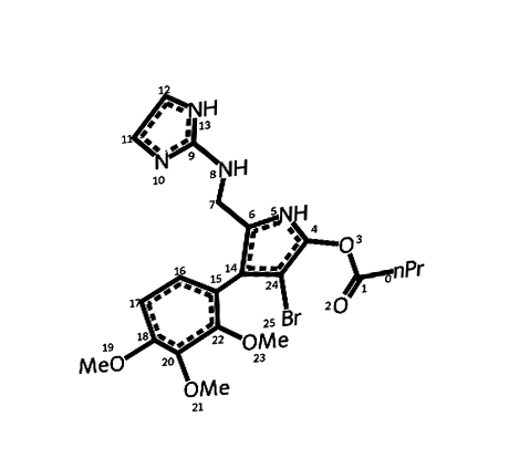 CCCC(=O)Oc1[nH]c(CNc2ncc[nH]2)c(-c2ccc(OC)c(OC)c2OC)c1Br